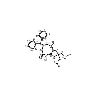 COCC1(COC)CC2=C(\C)CN(C(c3ccccc3)c3ccccc3)CC(=O)/C(C)=C\2C1